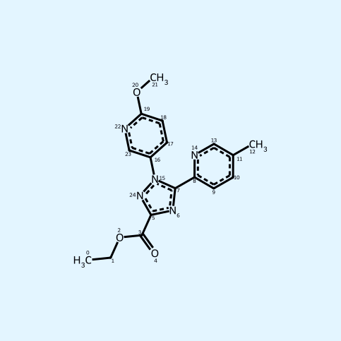 CCOC(=O)c1nc(-c2ccc(C)cn2)n(-c2ccc(OC)nc2)n1